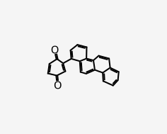 O=C1C=CC(=O)C(c2cccc3c2ccc2c4ccccc4ccc32)=C1